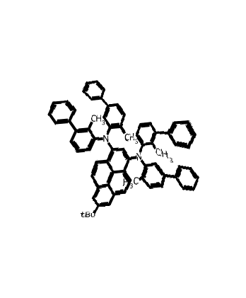 Cc1ccc(-c2ccccc2)cc1N(c1cccc(-c2ccccc2)c1C)c1cc(N(c2cc(-c3ccccc3)ccc2C)c2cccc(-c3ccccc3)c2C)c2ccc3cc(C(C)(C)C)cc4ccc1c2c43